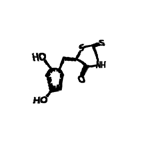 O=C1NC(=S)SC1=Cc1ccc(O)cc1O